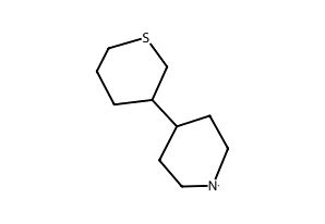 C1CSCC(C2CC[N]CC2)C1